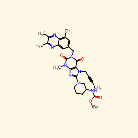 CC#CCn1c(N2CCCC(NC(=O)OC(C)(C)C)C2)nc2c1c(=O)n(Cc1cc(C)c3nc(C)c(C)nc3c1)c(=O)n2C